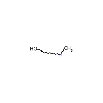 CCCC/C=C\CCCCCCCCC#CCCO